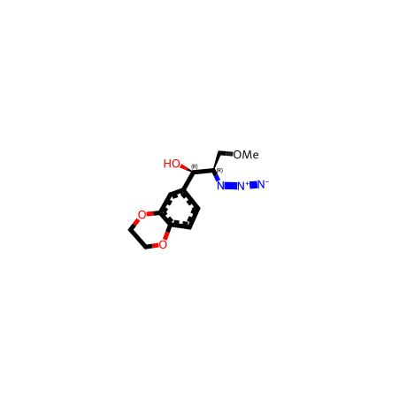 COC[C@@H](N=[N+]=[N-])[C@H](O)c1ccc2c(c1)OCCO2